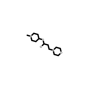 CN1CCC(OC([O])CCN2CCOCC2)CC1